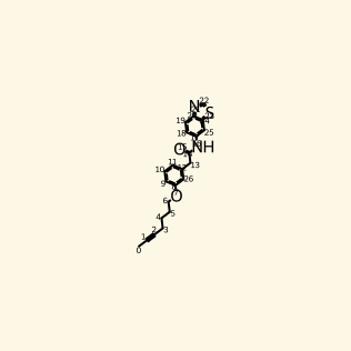 CC#CCCCCOc1cccc(CC(=O)Nc2ccc3ncsc3c2)c1